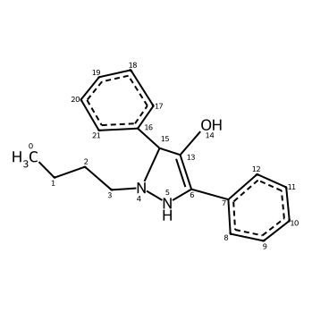 CCCCN1NC(c2ccccc2)=C(O)C1c1ccccc1